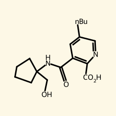 CCCCc1cnc(C(=O)O)c(C(=O)NC2(CO)CCCC2)c1